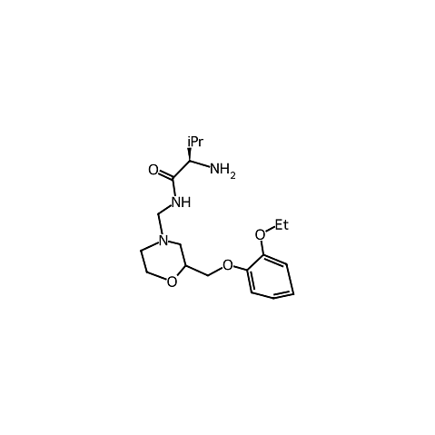 CCOc1ccccc1OCC1CN(CNC(=O)[C@H](N)C(C)C)CCO1